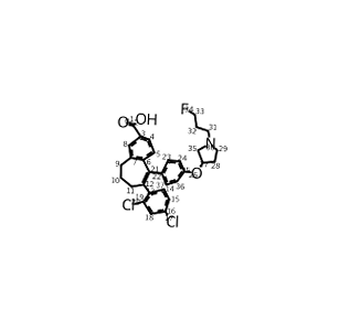 O=C(O)c1ccc2c(c1)CCCC(c1ccc(Cl)cc1Cl)=C2c1ccc(OC2CCN(CCCF)C2)cc1